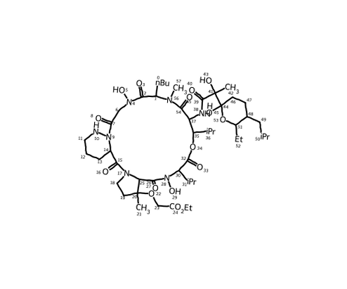 CCCCC1C(=O)N(O)CC(=O)N2NCCCC2C(=O)N2CCC(C)(OCC(=O)OCC)C2C(=O)N(O)C(C(C)C)C(=O)OC(C(C)C)C(NC(=O)C(C)(O)C2(O)CCC(CC(C)C)C(CC)O2)C(=O)N1C